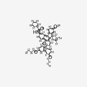 CCCCOc1ccc(C2(c3ccc(OCCCC)cc3)C=Cc3c4c(c5cc(NC(=O)c6ccccc6)ccc5c3O2)-c2ccc(OC)cc2C4(CCC)CCC)cc1